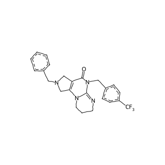 O=C1C2=C(CN(Cc3ccccc3)C2)N2CCCN=C2N1Cc1ccc(C(F)(F)F)cc1